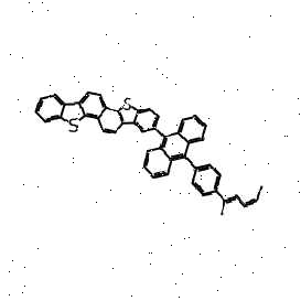 C/C=C\C=C(/C)c1ccc(-c2c3ccccc3c(-c3ccc4sc5c(ccc6c5ccc5c7ccccc7sc56)c4c3)c3ccccc23)cc1